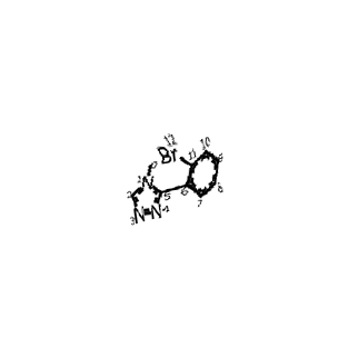 Cn1cnnc1-c1ccccc1Br